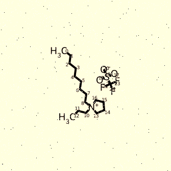 CCCCCCCCC[N+]1(CCC)CCCC1.O=S(=O)([O-])C(F)(F)F